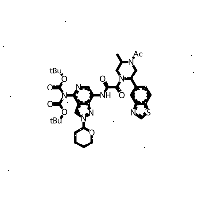 CC(=O)N1CC(c2ccc3scnc3c2)N(C(=O)C(=O)Nc2cnc(N(C(=O)OC(C)(C)C)C(=O)OC(C)(C)C)c3cn(C4CCCCO4)nc23)CC1C